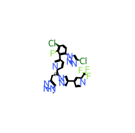 Cn1cc(C[C@@H](c2ccc(-c3c(-n4cc(Cl)nn4)ccc(Cl)c3F)cn2)n2cc(-c3ccnc(C(F)(F)F)c3)cn2)nn1